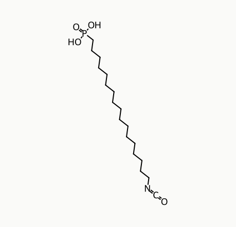 O=C=NCCCCCCCCCCCCCCCCCP(=O)(O)O